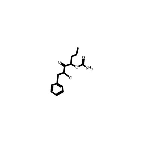 CCCC(OC(N)=O)C(=O)C(Cl)Cc1ccccc1